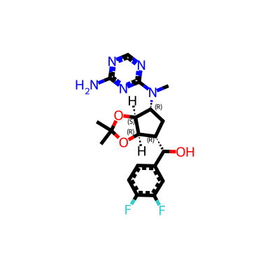 CN(c1ncnc(N)n1)[C@@H]1C[C@H](C(O)c2ccc(F)c(F)c2)[C@H]2OC(C)(C)O[C@H]21